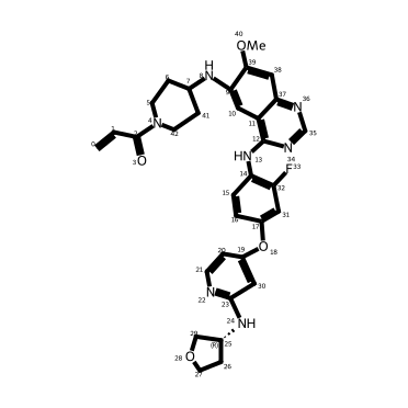 C=CC(=O)N1CCC(Nc2cc3c(Nc4ccc(Oc5ccnc(N[C@@H]6CCOC6)c5)cc4F)ncnc3cc2OC)CC1